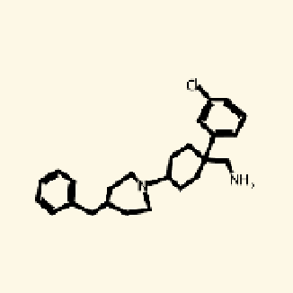 NCC1(c2cccc(Cl)c2)CCC(N2CCC(Cc3ccccc3)CC2)CC1